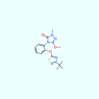 COc1nn(C)c(=O)n1-c1ccccc1Oc1nc(C(C)(C)C)ns1